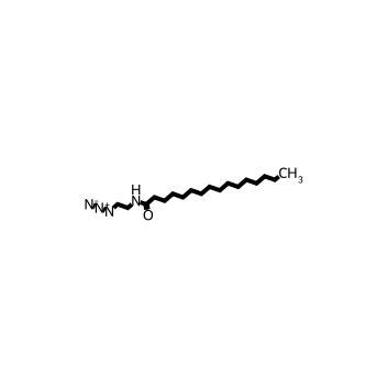 CCCCCCCCCCCCCCCC(=O)NCCN=[N+]=[N-]